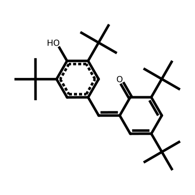 CC(C)(C)C1=CC(=Cc2cc(C(C)(C)C)c(O)c(C(C)(C)C)c2)C(=O)C(C(C)(C)C)=C1